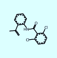 C=C(C)c1ccccc1NC(=O)c1c(Cl)cccc1Cl